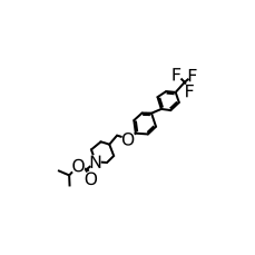 CC(C)OC(=O)N1CCC(COc2ccc(-c3ccc(C(F)(F)F)cc3)cc2)CC1